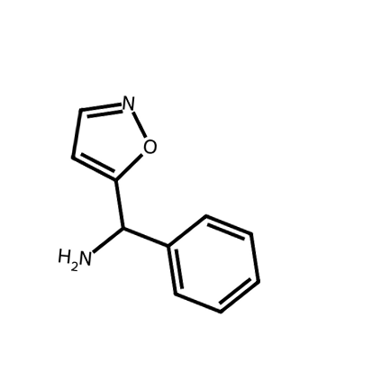 NC(c1ccccc1)c1ccno1